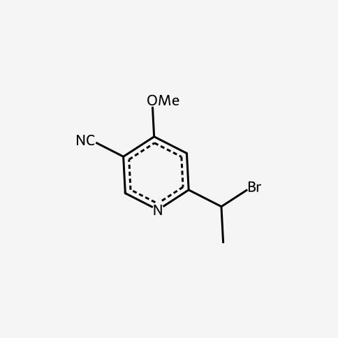 COc1cc(C(C)Br)ncc1C#N